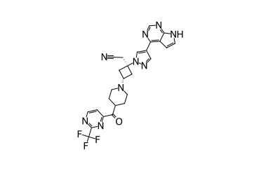 N#CC[C@]1(n2cc(-c3ncnc4[nH]ccc34)cn2)C[C@H](N2CCC(C(=O)c3ccnc(C(F)(F)F)n3)CC2)C1